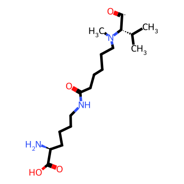 CC(C)[C@@H]([C]=O)N(C)CCCCCC(=O)NCCCC[C@H](N)C(=O)O